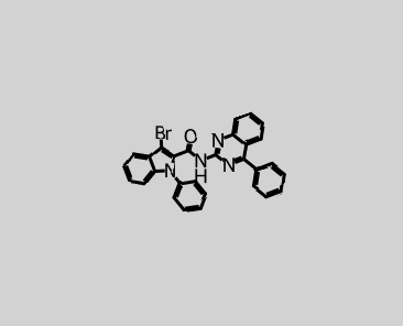 O=C(Nc1nc(-c2ccccc2)c2ccccc2n1)c1c(Br)c2ccccc2n1-c1ccccc1